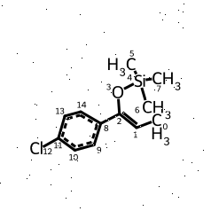 CC=C(O[Si](C)(C)C)c1ccc(Cl)cc1